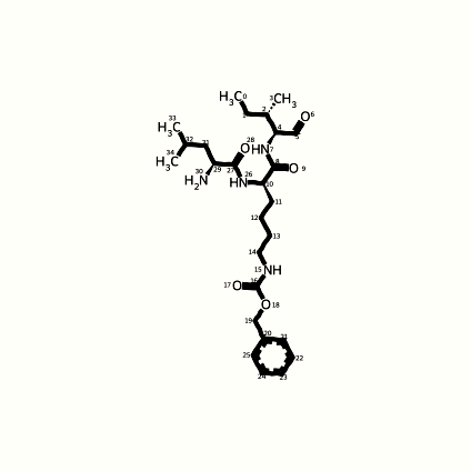 CC[C@H](C)[C@@H]([C]=O)NC(=O)[C@@H](CCCCNC(=O)OCc1ccccc1)NC(=O)[C@@H](N)CC(C)C